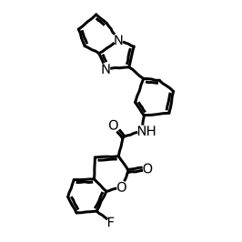 O=C(Nc1cccc(-c2cn3ccccc3n2)c1)c1cc2cccc(F)c2oc1=O